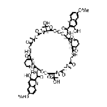 COc1ccc2nc(C(=O)N[C@@H]3CCOC(=O)[C@H](C(C)(C)O)N(C)C(=O)CN(C)C(=O)CNC(=O)[C@@H]4CCCNN4C(=O)[C@H](NC(=O)c4nc5ccc(OC)cc5cc4O)COC(=O)[C@H](C(C)(C)O)N(C)C(=O)CN(C)C(=O)CNC(=O)[C@@H]4CCCNN4C3=O)c(O)cc2c1